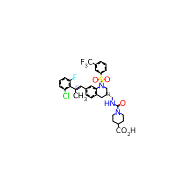 C/C(=C\c1ccc2c(c1)N(S(=O)(=O)c1cccc(C(F)(F)F)c1)C[C@H](CNC(=O)N1CCC(C(=O)O)CC1)C2)c1c(F)cccc1Cl